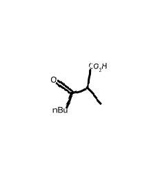 CCCCC(=O)C(C)C(=O)O